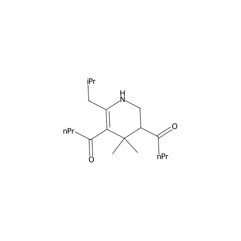 CCCC(=O)C1=C(CC(C)C)NCC(C(=O)CCC)C1(C)C